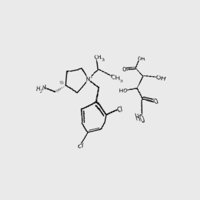 CC(C)[N+]1(Cc2ccc(Cl)cc2Cl)CC[C@@H](CN)C1.O=C(O)C(O)C(O)C(=O)O